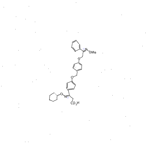 CO/N=C(\COc1ccc(COc2ccc(/C(CC(=O)O)=N\OC3CCCCC3)cc2)cc1)c1ccccc1